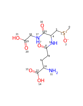 C[S+]([O-])CC(NC(=O)CCC(N)C(=O)O)C(=O)NCC(=O)O